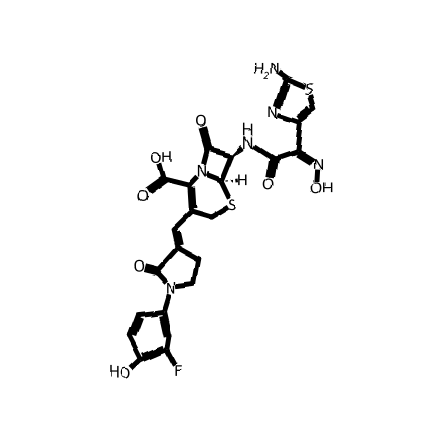 Nc1nc(/C(=N/O)C(=O)N[C@@H]2C(=O)N3C(C(=O)O)=C(C=C4CCN(c5ccc(O)c(F)c5)C4=O)CS[C@H]23)cs1